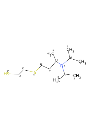 CC(C)N(C(C)C)C(C)CCSCCS